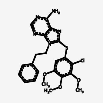 COc1cc(Sc2nc3c(N)ncnc3n2CCc2ccccc2)c(Cl)c(OC)c1OC